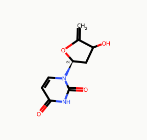 C=C1O[C@H](n2ccc(=O)[nH]c2=O)CC1O